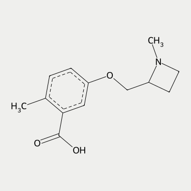 Cc1ccc(OCC2CCN2C)cc1C(=O)O